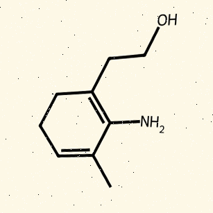 CC1=CC[CH]C(CCO)=C1N